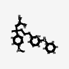 COc1ccc(C(C)(C=C(Br)Br)CCCc2cccc(Oc3ccccc3)n2)cc1